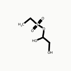 CCS(=O)(=O)OC(O)CO